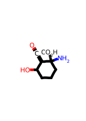 NC1(C(=O)O)CCCC(O)C1=C=O